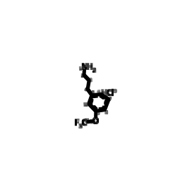 Cl.NCCCc1cccc(OC(F)(F)F)c1